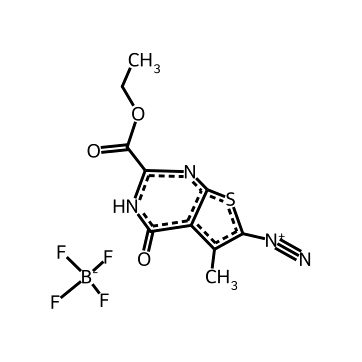 CCOC(=O)c1nc2sc([N+]#N)c(C)c2c(=O)[nH]1.F[B-](F)(F)F